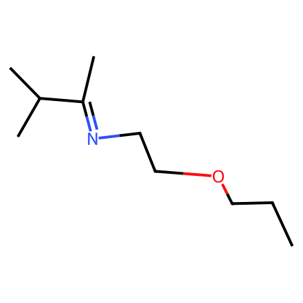 CCCOCC/N=C(\C)C(C)C